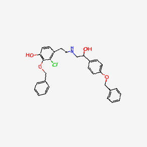 Oc1ccc(CCNCC(O)c2ccc(OCc3ccccc3)cc2)c(Cl)c1OCc1ccccc1